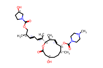 C/C(=C\C=C\[C@@H](C)COC(=O)N1CC[C@@H](O)C1)[C@H]1OC(=O)C[C@@H](O)CC[C@@H](C)[C@@H](OC(=O)N2CCN(C)CC2)/C=C/[C@@H]1C